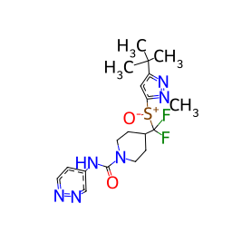 Cn1nc(C(C)(C)C)cc1[S+]([O-])C(F)(F)C1CCN(C(=O)Nc2ccnnc2)CC1